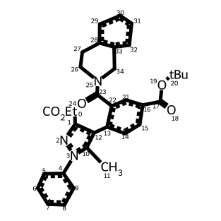 CCOC(=O)c1nn(-c2ccccc2)c(C)c1-c1ccc(C(=O)OC(C)(C)C)cc1C(=O)N1CCc2ccccc2C1